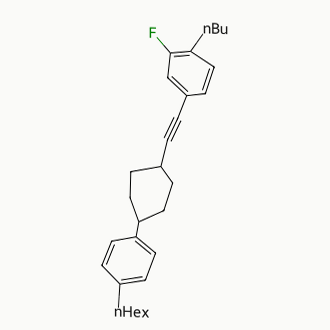 CCCCCCc1ccc(C2CCC(C#Cc3ccc(CCCC)c(F)c3)CC2)cc1